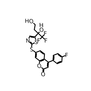 O=c1cc(-c2ccc(F)cc2)c2ccc(Sc3ncc(C(O)(CCO)C(F)(F)F)s3)cc2o1